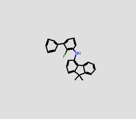 CC1(C)c2ccccc2-c2c(Nc3cccc(-c4ccccc4)c3F)cccc21